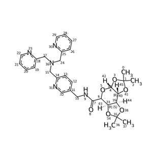 CC1(C)O[C@H]2OC(C(=O)NCc3ccc(CN(Cc4ccccn4)Cc4ccccn4)nc3)[C@@H]3OC(C)(C)O[C@@H]3[C@H]2O1